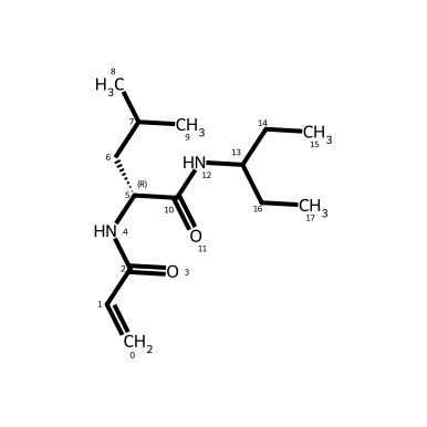 C=CC(=O)N[C@H](CC(C)C)C(=O)NC(CC)CC